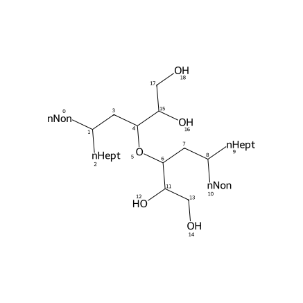 CCCCCCCCCC(CCCCCCC)CC(OC(CC(CCCCCCC)CCCCCCCCC)C(O)CO)C(O)CO